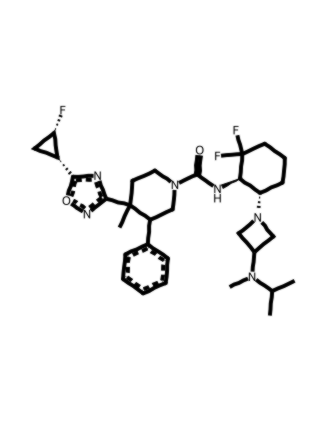 CC(C)N(C)C1CN([C@H]2CCCC(F)(F)[C@@H]2NC(=O)N2CCC(C)(c3noc([C@@H]4C[C@@H]4F)n3)C(c3ccccc3)C2)C1